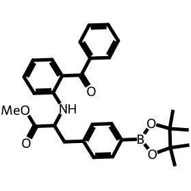 COC(=O)C(Cc1ccc(B2OC(C)(C)C(C)(C)O2)cc1)Nc1ccccc1C(=O)c1ccccc1